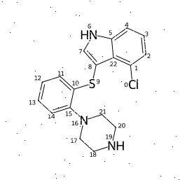 Clc1cccc2[nH]cc(Sc3ccccc3N3CCNCC3)c12